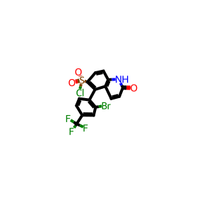 O=c1ccc2c(-c3ccc(C(F)(F)F)cc3Br)c(S(=O)(=O)Cl)ccc2[nH]1